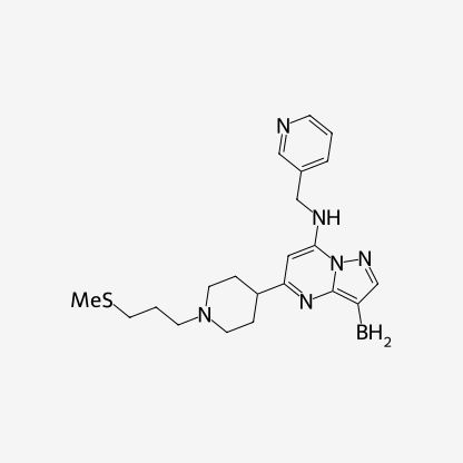 Bc1cnn2c(NCc3cccnc3)cc(C3CCN(CCCSC)CC3)nc12